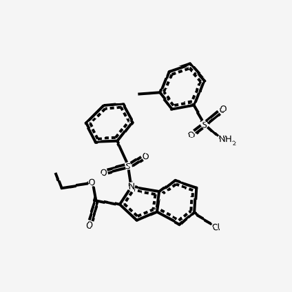 CCOC(=O)c1cc2cc(Cl)ccc2n1S(=O)(=O)c1ccccc1.Cc1cccc(S(N)(=O)=O)c1